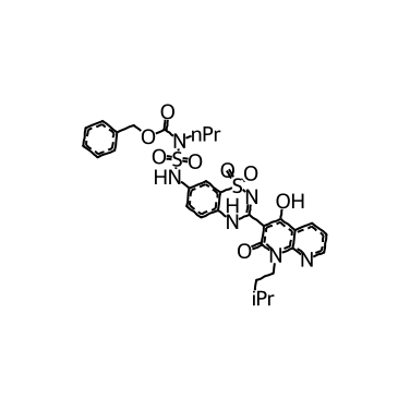 CCCN(C(=O)OCc1ccccc1)S(=O)(=O)Nc1ccc2c(c1)S(=O)(=O)N=C(c1c(O)c3cccnc3n(CCC(C)C)c1=O)N2